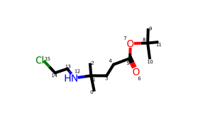 CC(C)(CCC(=O)OC(C)(C)C)NCCCl